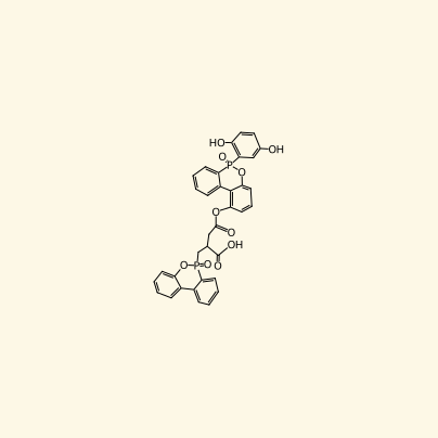 O=C(CC(CP1(=O)Oc2ccccc2-c2ccccc21)C(=O)O)Oc1cccc2c1-c1ccccc1P(=O)(c1cc(O)ccc1O)O2